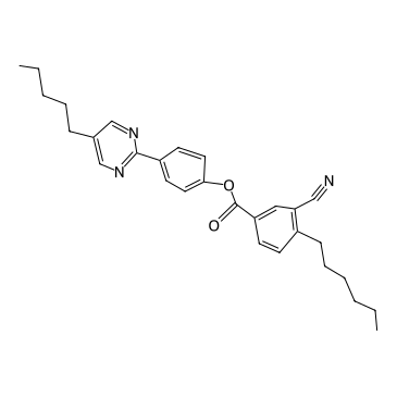 CCCCCCc1ccc(C(=O)Oc2ccc(-c3ncc(CCCCC)cn3)cc2)cc1C#N